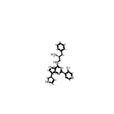 N[C@H](CNc1nc(-c2ccncc2F)nc2c(C3C=CNC3)csc12)Cc1ccccc1